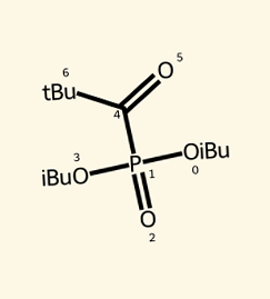 CC(C)COP(=O)(OCC(C)C)C(=O)C(C)(C)C